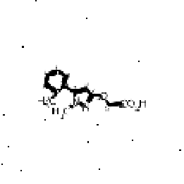 Cc1ccccc1-c1cc(OCC(=O)O)nn1C